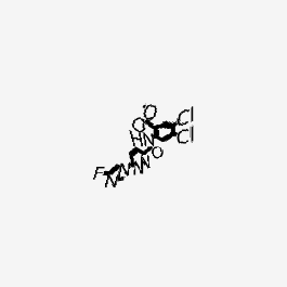 COC(=O)c1cc(Cl)c(Cl)cc1NC(=O)c1ccc(-n2cnc(F)c2)nn1